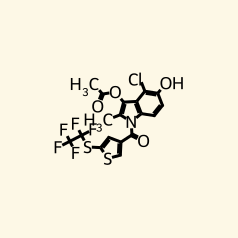 CC(=O)Oc1c(C)n(C(=O)c2csc(SC(F)(F)C(F)(F)F)c2)c2ccc(O)c(Cl)c12